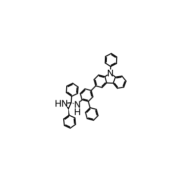 c1ccc(-c2cc(-c3ccc4c(c3)c3ccccc3n4-c3ccccc3)ccc2N[C@@]2(c3ccccc3)N[C@@H]2c2ccccc2)cc1